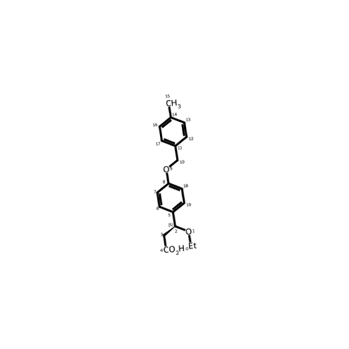 CCO[C@@H](CC(=O)O)c1ccc(OCc2ccc(C)cc2)cc1